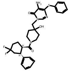 Nc1c(Sc2ccccc2)ncn(CC2(O)CCN(C(=O)[C@@H]3CCC(F)(F)C[C@H]3c3ccccc3)CC2)c1=O